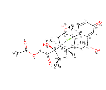 CC(=O)OCC(=O)[C@@]1(O)[C@H](C)C[C@H]2[C@@H]3C[C@@H](O)C4=CC(=O)C=C[C@]4(C)[C@@]3(F)[C@@H](O)C[C@@]21C